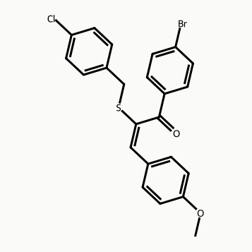 COc1ccc(/C=C(/SCc2ccc(Cl)cc2)C(=O)c2ccc(Br)cc2)cc1